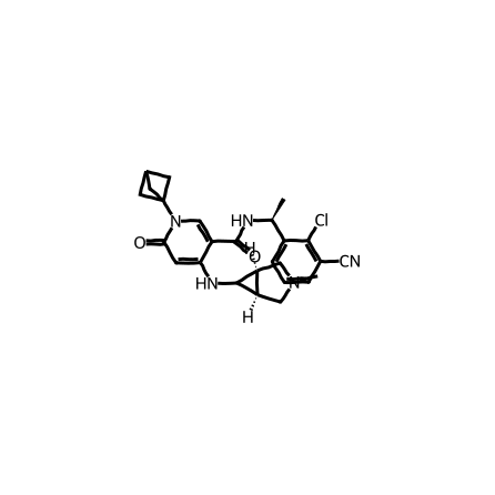 C[C@H](NC(=O)c1cn(C23CC(C2)C3)c(=O)cc1NC1[C@H]2CN(C)C[C@@H]12)c1cccc(C#N)c1Cl